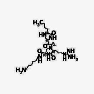 CCCC[C@@H]1NC[C@H](C(=O)C2(N3C[C@H](C(=O)NCCCCCCN)NC(=O)[C@@H]3CCCNC(=N)N)CC2)NC1=O